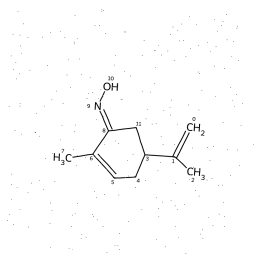 C=C(C)C1CC=C(C)/C(=N/O)C1